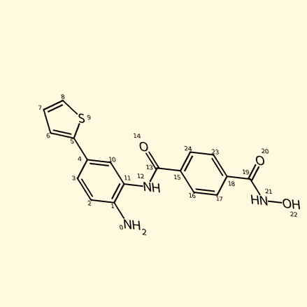 Nc1ccc(-c2cccs2)cc1NC(=O)c1ccc(C(=O)NO)cc1